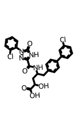 O=C(NC(Cc1ccc(-c2cccc(Cl)c2)cc1)CC(O)C(=O)O)c1nn(-c2ccccc2Cl)c(=O)[nH]1